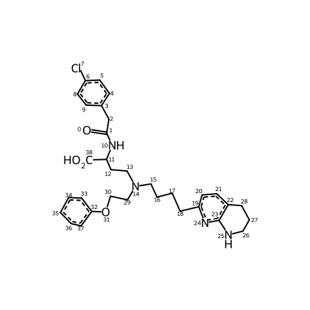 O=C(Cc1ccc(Cl)cc1)NC(CCN(CCCCc1ccc2c(n1)NCCC2)CCOc1ccccc1)C(=O)O